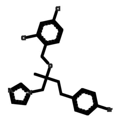 CC(CCc1ccc(Br)cc1)(Cn1ccnc1)OCc1ccc(Cl)cc1Cl